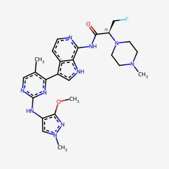 COc1nn(C)cc1Nc1ncc(C)c(-c2c[nH]c3c(NC(=O)[C@@H](CF)N4CCN(C)CC4)nccc23)n1